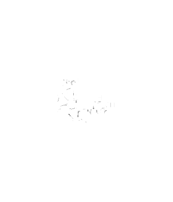 Cc1ccc(-c2cnn(C)c2)c(C(F)F)c1-c1ccc2c(c1)CN(C(=O)OC(C)(C)C)CCO2